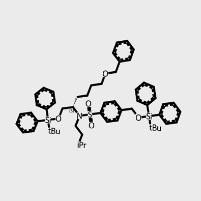 CC(C)CCN([C@@H](CCCCOCc1ccccc1)CO[Si](c1ccccc1)(c1ccccc1)C(C)(C)C)S(=O)(=O)c1ccc(CO[Si](c2ccccc2)(c2ccccc2)C(C)(C)C)cc1